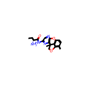 CC[C@@H](N)C(=O)Nc1cnc2c(n1)C1(C)COc3c(C)ccc(c31)O2